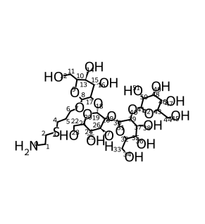 NCCSCCCO[C@H]1OC(CO)[C@@H](O)[C@H](O)C1O[C@H]1OC(CO)[C@@H](O)[C@H](O)C1O[C@@H]1OC(CO)[C@@H](O)[C@H](O)C1O[C@@H]1OC(CO)[C@@H](O)[C@H](O)C1O